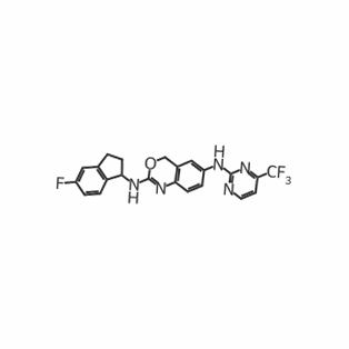 Fc1ccc2c(c1)CCC2NC1=Nc2ccc(Nc3nccc(C(F)(F)F)n3)cc2CO1